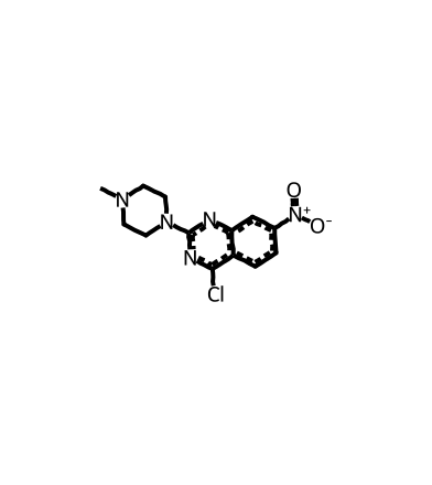 CN1CCN(c2nc(Cl)c3ccc([N+](=O)[O-])cc3n2)CC1